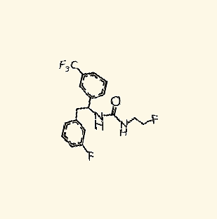 O=C(NCCF)NC(Cc1cccc(F)c1)c1cccc(C(F)(F)F)c1